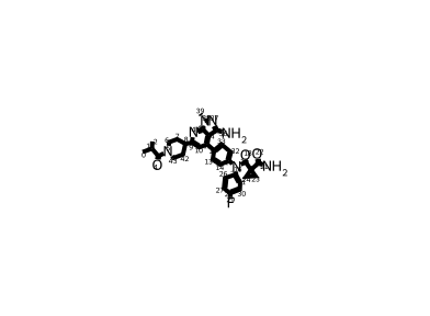 CC(C)C(=O)N1CCC(c2cc(-c3ccc(N(C(=O)C4(C(N)=O)CC4)c4ccc(F)cc4)cc3)c3c(N)nn(C)c3n2)CC1